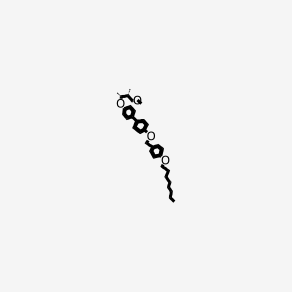 CCCCCCCCOc1ccc(COc2ccc(-c3ccc(O[C@H](C)[C@H](C)COC)cc3)cc2)cc1